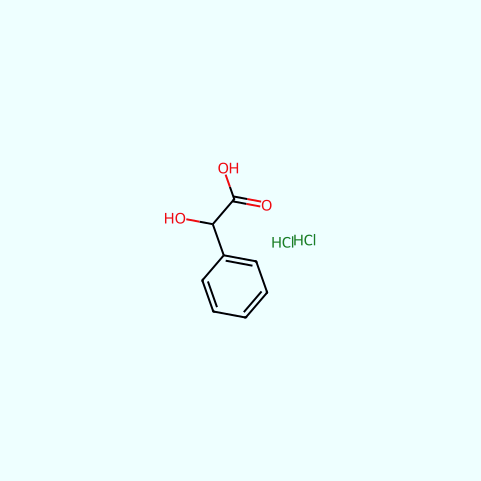 Cl.Cl.O=C(O)C(O)c1ccccc1